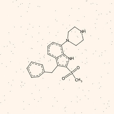 CS(=O)(=O)c1[nH]c2c(N3CCNCC3)cccc2c1Cc1ccccc1